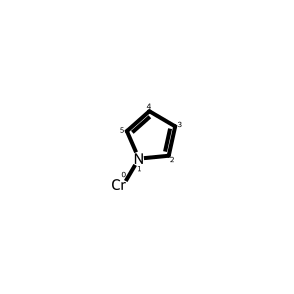 [Cr][n]1cccc1